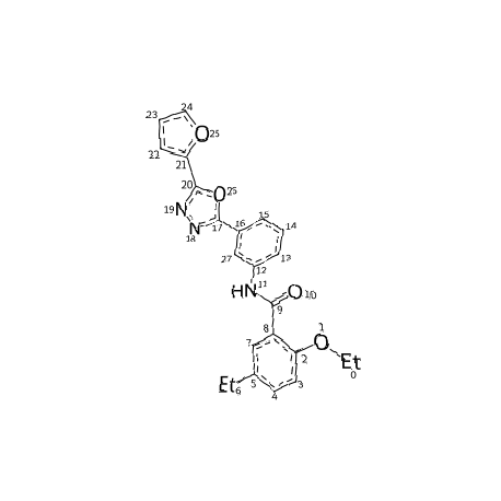 CCOc1ccc(CC)cc1C(=O)Nc1cccc(-c2nnc(-c3ccco3)o2)c1